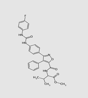 COC(=O)C(NC(=O)c1onc(-c2ccc(NC(=O)Nc3ccc(F)cc3)cc2)c1-c1ccccc1)C(C)C